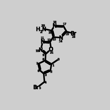 Cc1cc(CBr)ccc1-c1nnc(-c2nc(Br)cnc2N)o1